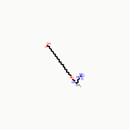 CC(CCCNC(=N)N)NCCOOCCCCCCCCCCCCCCCCCCCCCCCC(=O)O